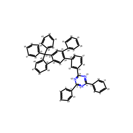 c1ccc(-c2nc(-c3ccccc3)nc(-c3cccc(-c4cc5c(cc4-c4ccccc4)C(c4ccccc4)(c4ccccc4)c4ccccc4-5)c3)n2)cc1